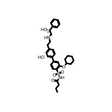 CCCC(=O)NS(=O)(=O)c1ccc(-c2ccc(CCNC[C@H](O)c3ccccc3)cc2)cc1OC1CCCCC1.Cl